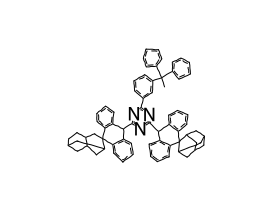 CC(c1ccccc1)(c1ccccc1)c1cccc(-c2nc(C3c4ccccc4C4(CC5CCC6CC5CC4C6)c4ccccc43)nc(C3c4ccccc4C4(c5ccccc53)C3CC5CC(C3)CC4C5)n2)c1